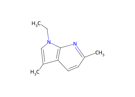 CCn1cc(C)c2ccc(C)nc21